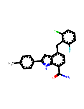 Cc1ccc(-c2cc3c(Cc4c(F)cccc4Cl)ccc(C(N)=O)c3[nH]2)cc1